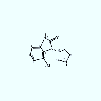 O=c1[nH]c2cccc(Cl)c2n1[C@@H]1CCNC1